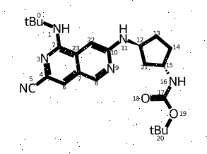 CC(C)(C)Nc1nc(C#N)cc2cnc(N[C@H]3CC[C@H](NC(=O)OC(C)(C)C)C3)cc12